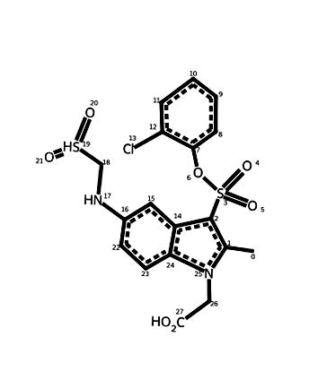 Cc1c(S(=O)(=O)Oc2ccccc2Cl)c2cc(NC[SH](=O)=O)ccc2n1CC(=O)O